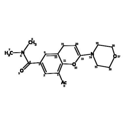 CC(=O)c1cc(C(=O)N(C)C)cc2c1OC(N1CCOCC1)=CC2